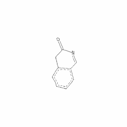 O=C1Cc2ccc[c]c2C=N1